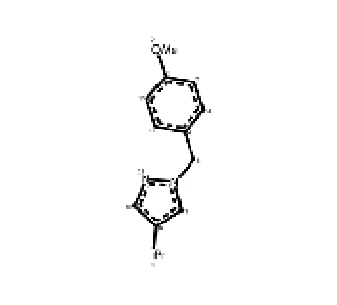 COc1ccc(Cn2cc(C(C)C)cn2)cc1